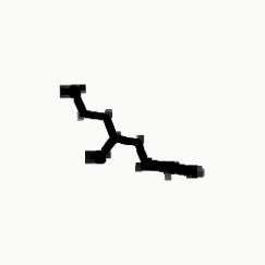 [N-]=[N+]=NCC(O)CCO